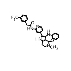 CN1CCc2[nH]c(-c3ccnc(NC(=O)Cc4cccc(C(F)(F)F)c4)c3)c(Nc3ccccc3)c2C1=O